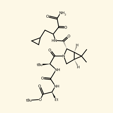 CC[C@H](NC(=O)N[C@H](C(=O)N1C[C@H]2[C@@H]([C@H]1C(=O)NC(CC1CC1)C(=O)C(N)=O)C2(C)C)C(C)(C)C)C(=O)OC(C)(C)C